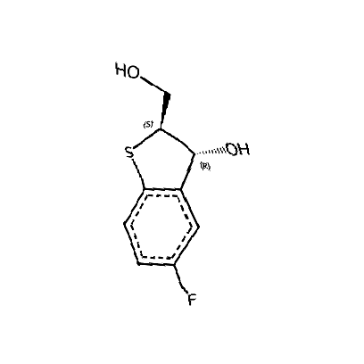 OC[C@@H]1Sc2ccc(F)cc2[C@H]1O